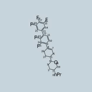 CCCC1CCC(C2CC=C(c3ccc(-c4cc(F)c(F)c(F)c4)c(F)c3F)CC2)OC1